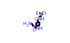 CCN(CC)CCNC(=O)c1ccc2[nH]c(=O)n(CCN)c2c1